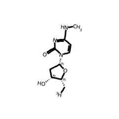 [3H]C[C@H]1O[C@@H](n2ccc(NC)nc2=O)C[C@H]1O